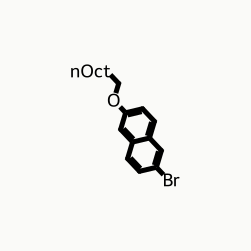 CCCCCCCCCOc1ccc2cc(Br)ccc2c1